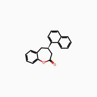 O=C1C[C@H](c2cccc3ccccc23)Cc2ccccc2O1